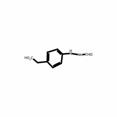 O=CNNc1ccc(CC(=O)O)cc1